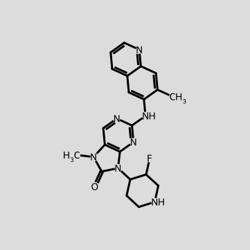 Cc1cc2ncccc2cc1Nc1ncc2c(n1)n(C1CCNCC1F)c(=O)n2C